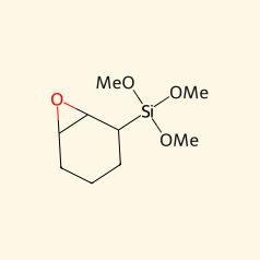 CO[Si](OC)(OC)C1CCCC2OC21